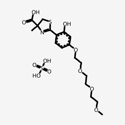 COCCOCCOCCOc1ccc(C2=NC(C)(C(=O)O)CS2)c(O)c1.O=S(=O)(O)O